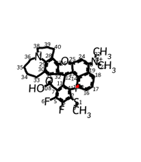 CSc1c(F)c(F)c(C(=O)O)c(-c2c3c4ccccc4c(=[N+](C)C)cc-3oc3c4c5c(cc23)CCCCN5CCC4)c1F